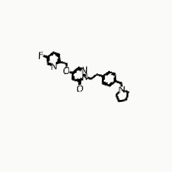 O=c1cc(OCc2ccc(F)cn2)cnn1CCc1ccc(CN2CCCC2)cc1